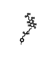 O=C(O)CC[C@H](NC(=O)N[C@@H](CCCCNC(=O)CCc1ccc(I)cc1)C(=O)O)C(=O)O